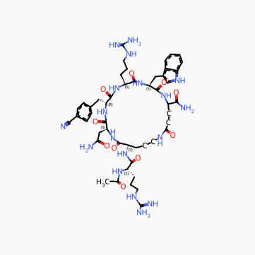 CC(=O)N[C@@H](CCCNC(=N)N)C(=O)N[C@H]1CCCNC(=O)CCC(C(N)=O)NC(=O)[C@H](Cc2c[nH]c3ccccc23)NC(=O)[C@H](CCCNC(=N)N)NC(=O)[C@@H](Cc2ccc(C#N)cc2)NC(=O)[C@H](CC(N)=O)NC1=O